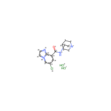 Cl.Cl.O=C(NC1CN2CCC1CC2)c1cc(Cl)cn2ccnc12